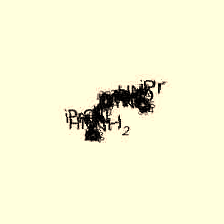 C=NN(/C=C(\N)C(NC(=O)C(C)C)c1ccccc1)Cc1ccc(Cn2cc(C(NC(=O)C(C)C)c3ccccc3)nn2)cc1